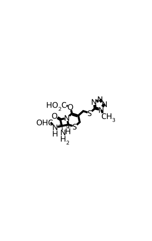 Cn1nnnc1SCC1=C(OC(=O)O)N2C(=O)[C@](N)(NC=O)[C@@H]2SC1